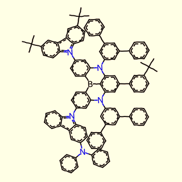 CC(C)(C)c1cccc(-c2cc3c4c(c2)N(c2cc(-c5ccccc5)cc(-c5ccccc5)c2)c2cc(-n5c6ccc(C(C)(C)C)cc6c6cc(C(C)(C)C)ccc65)ccc2B4c2ccc(-n4c5ccccc5c5cc(N(c6ccccc6)c6ccccc6)ccc54)cc2N3c2cc(-c3ccccc3)cc(-c3ccccc3)c2)c1